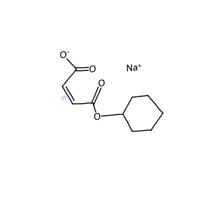 O=C([O-])/C=C\C(=O)OC1CCCCC1.[Na+]